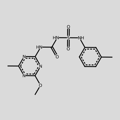 COc1nc(C)nc(NC(=O)NS(=O)(=O)Nc2cccc(C)c2)n1